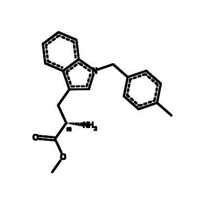 COC(=O)[C@@H](N)Cc1cn(Cc2ccc(C)cc2)c2ccccc12